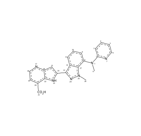 CN(c1ccccn1)c1cccc2c(-c3cc4nccc(C(=O)O)c4[nH]3)nn(C)c12